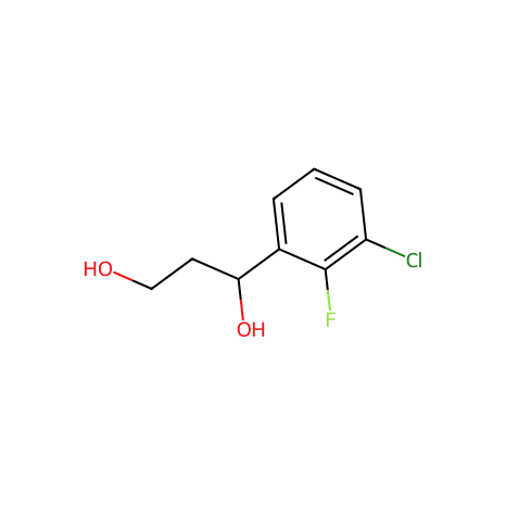 OCCC(O)c1cccc(Cl)c1F